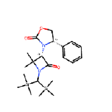 CC1(C)[C@H](N2C(=O)OC[C@@H]2c2ccccc2)C(=O)N1C([Si](C)(C)C)[Si](C)(C)C